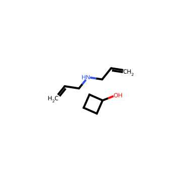 C=CCNCC=C.OC1CCC1